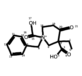 CCC1(C(=O)O)C[N+](Cc2ccccc2)(C(=O)O)CCC1=O